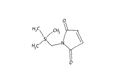 C[Si](C)(C)CN1C(=O)C=CC1=O